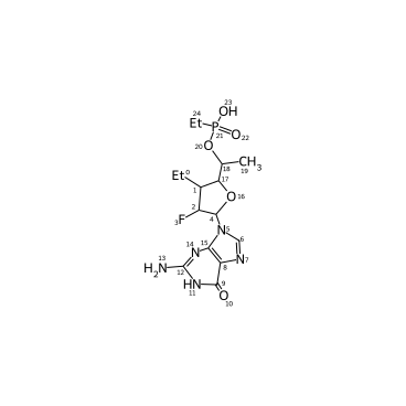 CCC1C(F)C(n2cnc3c(=O)[nH]c(N)nc32)OC1C(C)OP(=O)(O)CC